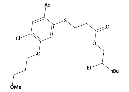 CCCCC(CC)COC(=O)CCSc1cc(OCCCOC)c(Cl)cc1C(C)=O